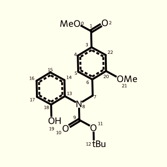 COC(=O)c1ccc(CN(C(=O)OC(C)(C)C)c2ccccc2O)c(OC)c1